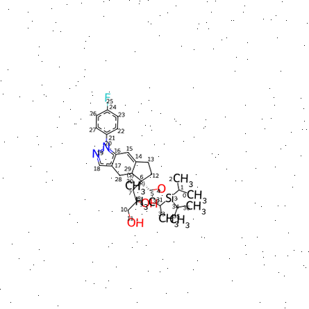 CC(C)[Si](OC[C@@]1(CC(O)CO)CCC2=Cc3c(cnn3-c3ccc(F)cc3)C[C@@]21C)(C(C)C)C(C)C